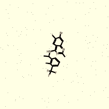 Cc1nc(NC(C)c2cccc(C(F)(F)F)c2C)c2cc(I)c(Br)cc2n1